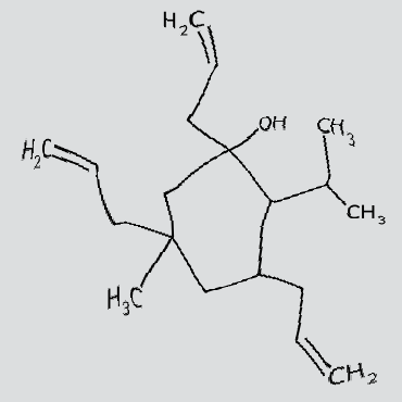 C=CCC1CC(C)(CC=C)CC(O)(CC=C)C1C(C)C